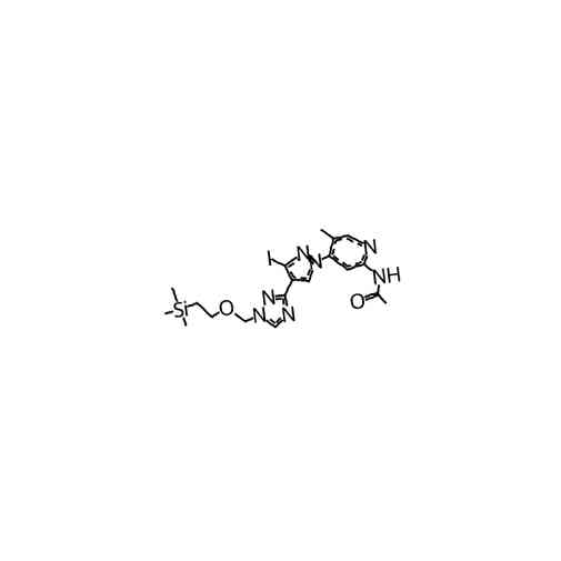 CC(=O)Nc1cc(-n2cc(-c3ncn(COCC[Si](C)(C)C)n3)c(I)n2)c(C)cn1